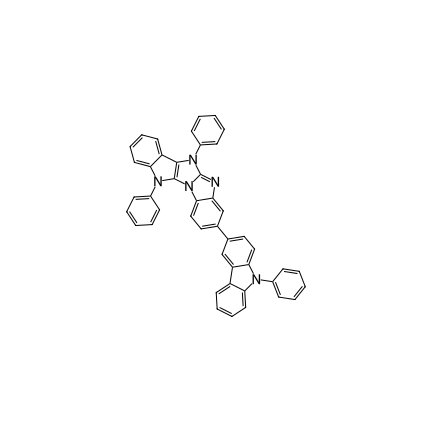 c1ccc(-n2c3ccccc3c3cc(-c4ccc5c(c4)nc4n(-c6ccccc6)c6c7ccccc7n(-c7ccccc7)c6n54)ccc32)cc1